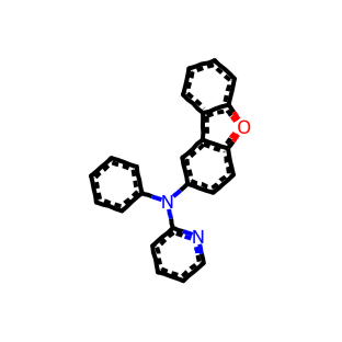 c1ccc(N(c2ccc3oc4ccccc4c3c2)c2ccccn2)cc1